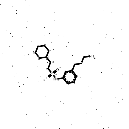 NCCCc1cccc(NS(=O)(=O)CCC2CCCCC2)c1